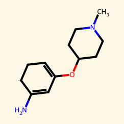 CN1CCC(OC2=CC[CH]C(N)=C2)CC1